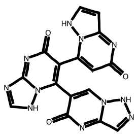 O=c1[c]c(-c2c(-c3cn4[nH]ncc4nc3=O)n3[nH]cnc3nc2=O)n2[nH]ccc2n1